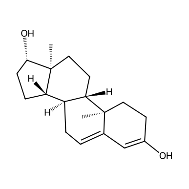 C[C@]12CC[C@H]3[C@@H](CC=C4C=C(O)CC[C@@]43C)[C@@H]1CC[C@@H]2O